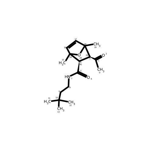 CC(=O)[C@H]1[C@@H](C(=O)NCCC(C)(C)C)C2(C)C=CC1(C)O2